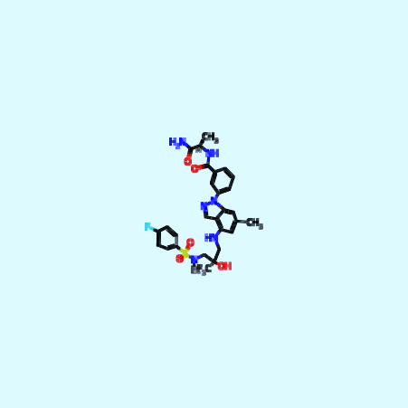 CCN(CC(O)(CNc1cc(C)cc2c1cnn2-c1cccc(C(=O)N[C@H](C)C(N)=O)c1)C(F)(F)F)S(=O)(=O)c1ccc(F)cc1